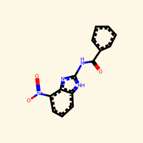 O=C(Nc1nc2c([N+](=O)[O-])cccc2[nH]1)c1ccccc1